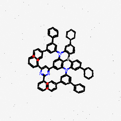 c1ccc(-c2cc(-c3ccccc3)cc(N3c4cc(C5CCCCC5)ccc4B4c5ccc(C6CCCCC6)cc5N(c5cc(-c6ccccc6)cc(-c6ccccc6)c5)c5cc(-c6cc(-c7ccccc7)nc(-c7ccccc7)n6)cc3c54)c2)cc1